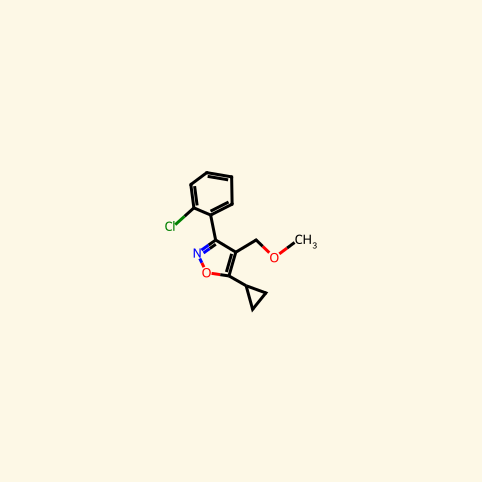 COCc1c(-c2ccccc2Cl)noc1C1CC1